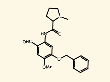 COc1cc(C=O)c(NC(=O)C2CCCN2C)cc1OCc1ccccc1